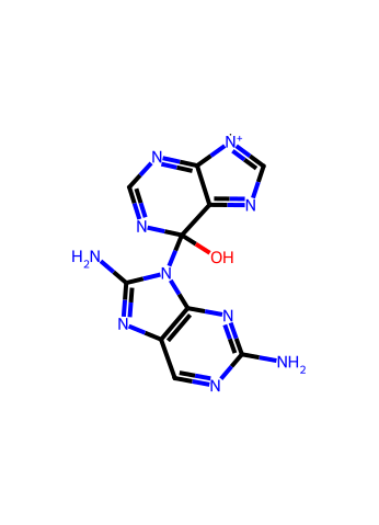 Nc1ncc2nc(N)n(C3(O)N=CN=C4[N+]=CN=C43)c2n1